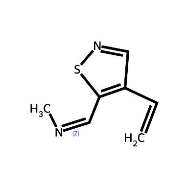 C=Cc1cnsc1/C=N\C